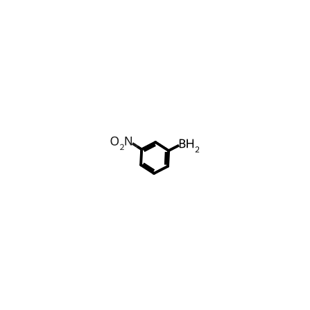 Bc1cccc([N+](=O)[O-])c1